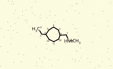 CCC1CCCC(CNC)CCC1